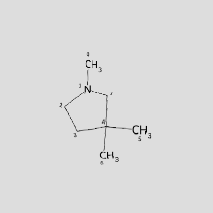 CN1CCC(C)(C)C1